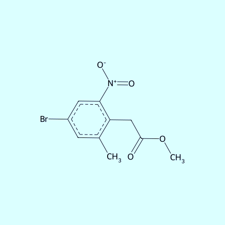 COC(=O)Cc1c(C)cc(Br)cc1[N+](=O)[O-]